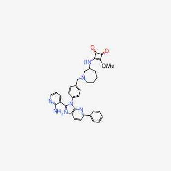 COc1c(NC2CCCCN(Cc3ccc(-n4c(-c5cccnc5N)nc5ccc(-c6ccccc6)nc54)cc3)C2)c(=O)c1=O